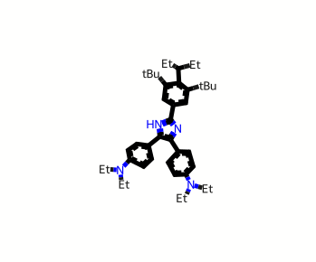 CCC(CC)c1c(C(C)(C)C)cc(-c2nc(-c3ccc(N(CC)CC)cc3)c(-c3ccc(N(CC)CC)cc3)[nH]2)cc1C(C)(C)C